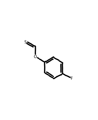 Fc1ccc(OC=S)cc1